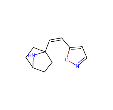 C(=C/C12CCC(CC1)N2)/c1ccno1